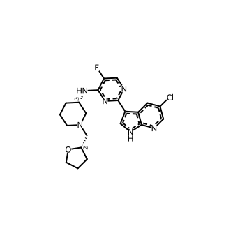 Fc1cnc(-c2c[nH]c3ncc(Cl)cc23)nc1N[C@H]1CCCN(C[C@@H]2CCCO2)C1